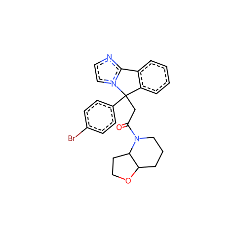 O=C(CC1(c2ccc(Br)cc2)c2ccccc2-c2nccn21)N1CCCC2OCCC21